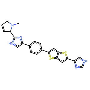 CN1CC=CC1c1nc(-c2ccc(-c3cc4sc(-c5c[nH]cn5)cc4s3)cc2)c[nH]1